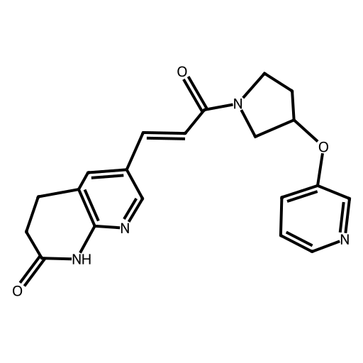 O=C1CCc2cc(/C=C/C(=O)N3CCC(Oc4cccnc4)C3)cnc2N1